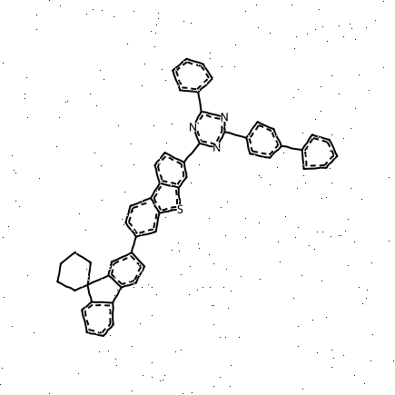 c1ccc(-c2ccc(-c3nc(-c4ccccc4)nc(-c4ccc5c(c4)sc4cc(-c6ccc7c(c6)C6(CCCCC6)c6ccccc6-7)ccc45)n3)cc2)cc1